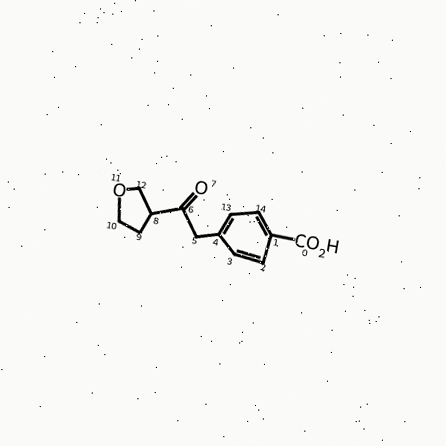 O=C(O)c1ccc(CC(=O)C2CCOC2)cc1